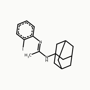 CC(=Nc1ccccc1I)NC12CC3CC(CC(C3)C1)C2